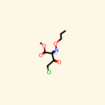 CCCO/N=C(/C(=O)CCl)C(=O)OC